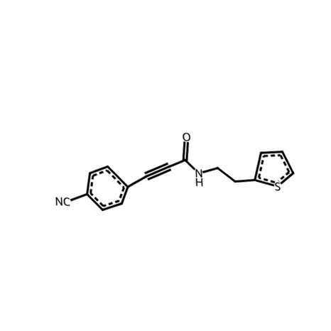 N#Cc1ccc(C#CC(=O)NCCc2cccs2)cc1